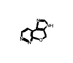 c1cc2c(nn1)OCc1[nH]cnc1-2